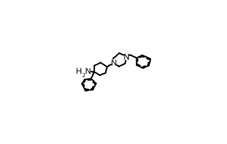 NC1(c2ccccc2)CCC(N2CCN(Cc3ccccc3)CC2)CC1